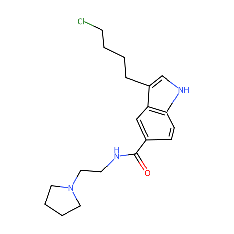 O=C(NCCN1CCCC1)c1ccc2[nH]cc(CCCCCl)c2c1